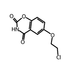 O=c1[nH]c(=O)c2cc(OCCCl)ccc2o1